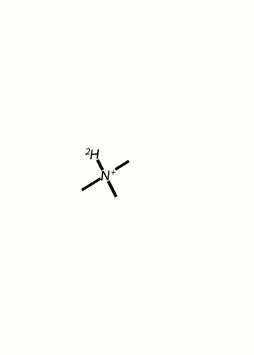 [2H][N+](C)(C)C